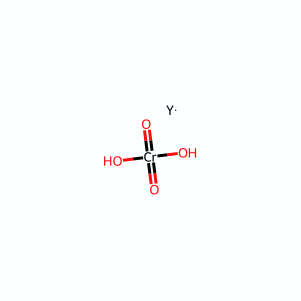 [O]=[Cr](=[O])([OH])[OH].[Y]